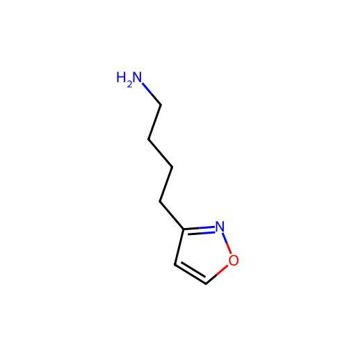 NCCCCc1ccon1